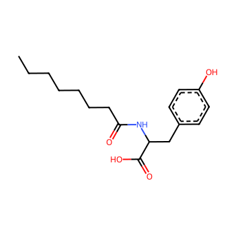 CCCCCCCC(=O)NC(Cc1ccc(O)cc1)C(=O)O